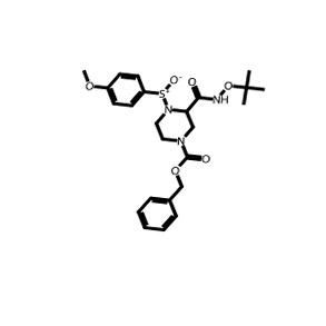 COc1ccc([S+]([O-])N2CCN(C(=O)OCc3ccccc3)CC2C(=O)NOC(C)(C)C)cc1